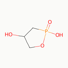 O=P1(O)CC(O)CO1